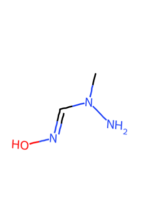 CN(N)C=NO